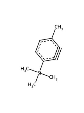 Cc1c#cc([Si](C)(C)C)cc1